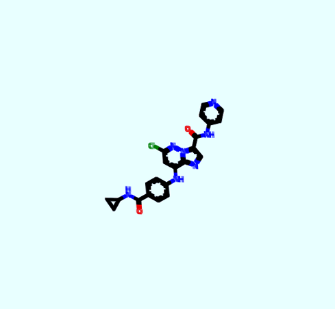 O=C(NC1CC1)c1ccc(Nc2cc(Cl)nn3c(C(=O)Nc4ccncc4)cnc23)cc1